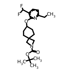 CCc1ccc(C(F)F)c(OC2CCC3(CC2)CN(C(=O)OC(C)(C)C)C3)n1